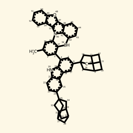 Cc1cc(-c2cc(C34CC5CC6CC(C3)C65C4)cc3c2[nH]c2ccc(C45CC6CC7CC6(C4)C7C5)cc23)c2c(c1)-n1c3c(cccc3c3oc4ccccc4c31)B2